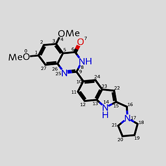 COc1cc(OC)c2c(=O)[nH]c(-c3ccc4[nH]c(CN5CCCC5)cc4c3)nc2c1